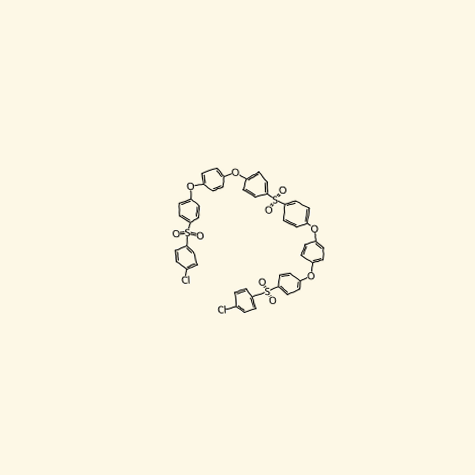 O=S(=O)(c1ccc(Cl)cc1)c1ccc(Oc2ccc(Oc3ccc(S(=O)(=O)c4ccc(Oc5ccc(Oc6ccc(S(=O)(=O)c7ccc(Cl)cc7)cc6)cc5)cc4)cc3)cc2)cc1